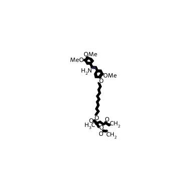 C=CC(=O)CCC(C)(COC(=O)C=C)C(=O)OCCCCCCCCCCCOc1ccc(/C=C(\N)c2ccc(OC)c(OC)c2)cc1OC